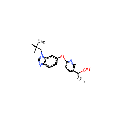 CC(=O)OC(C)(C)Cn1cnc2ccc(Oc3ccc(C(O)C(F)(F)F)cn3)cc21